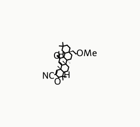 COCC[C@]12CCC(C)(C)C[C@@H]1C1C(=O)C=C3[C@@]4(C)C=C(C#N)C(=O)C(C)(C)[C@@H]4CC[C@@]3(C)[C@]1(C)CC2